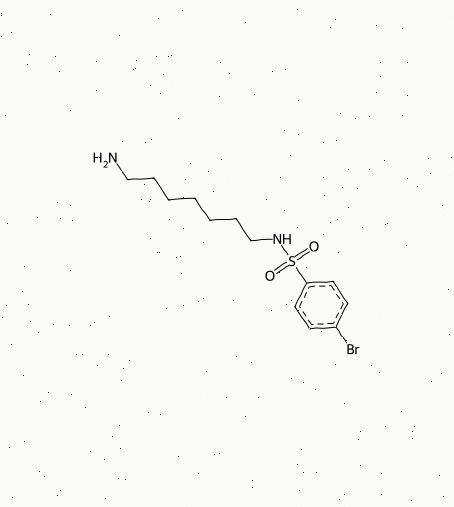 NCCCCCCCNS(=O)(=O)c1ccc(Br)cc1